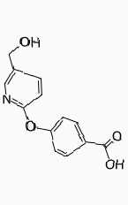 O=C(O)c1ccc(Oc2ccc(CO)cn2)cc1